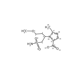 COCCC(CS(N)(=O)=O)n1c([N+](=O)[O-])cnc1C